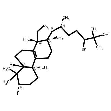 C[C@H](CCC(Br)C(C)(C)O)[C@H]1CC[C@@]2(C)C3=C(CC[C@]12C)[C@@]1(C)CC[C@H](I)C(C)(C)[C@@H]1CC3